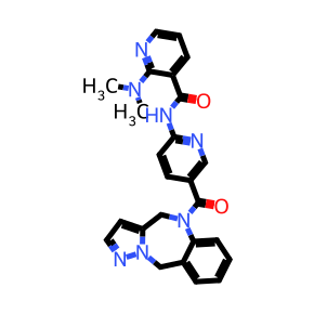 CN(C)c1ncccc1C(=O)Nc1ccc(C(=O)N2Cc3ccnn3Cc3ccccc32)cn1